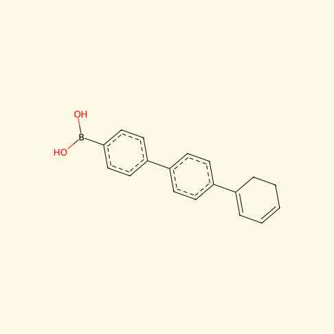 OB(O)c1ccc(-c2ccc(C3=CC=CCC3)cc2)cc1